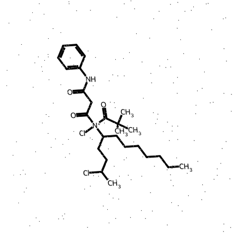 CCCCCCCC(CCC(C)Cl)[N+](Cl)(C(=O)CC(=O)Nc1ccccc1)C(=O)C(C)(C)C